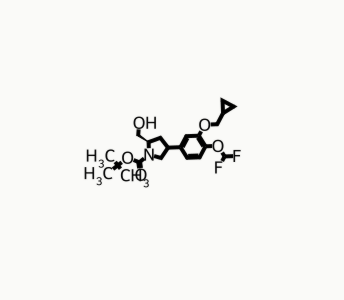 CC(C)(C)OC(=O)N1CC(c2ccc(OC(F)F)c(OCC3CC3)c2)C[C@@H]1CO